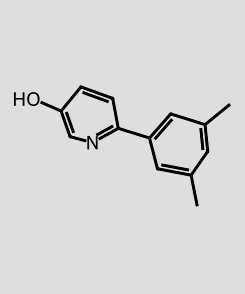 Cc1cc(C)cc(-c2ccc(O)cn2)c1